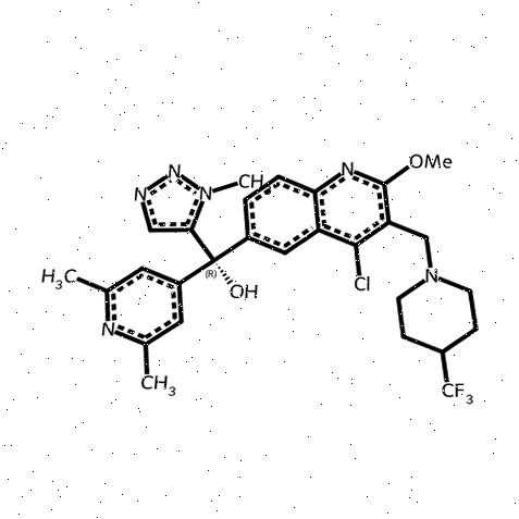 COc1nc2ccc([C@@](O)(c3cc(C)nc(C)c3)c3cnnn3C)cc2c(Cl)c1CN1CCC(C(F)(F)F)CC1